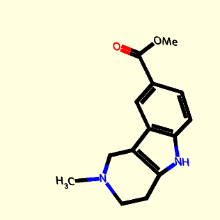 COC(=O)c1ccc2[nH]c3c(c2c1)CN(C)CC3